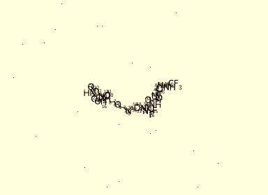 CN(CCCOCCCc1cccc2c1n(C)c(=O)n2C1CCC(=O)NC1=O)C[C@H]1CC[C@H](n2cc(NC(=O)c3coc(-c4ccnc(NCC(F)(F)F)c4)n3)c(C(F)F)n2)CC1